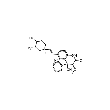 CO[C@@H]1C(=O)Nc2ccc(/C=C/[C@]3(C)CC[C@H](O)[C@@H](S)C3)c(O)c2[C@@]1(O)c1ccccc1